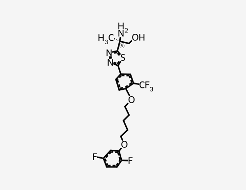 C[C@](N)(CO)c1nnc(-c2ccc(OCCCCCOc3cc(F)ccc3F)c(C(F)(F)F)c2)s1